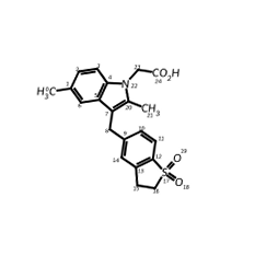 Cc1ccc2c(c1)c(Cc1ccc3c(c1)CCS3(=O)=O)c(C)n2CC(=O)O